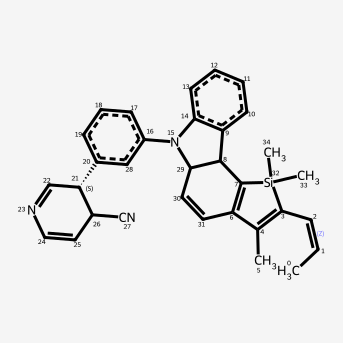 C/C=C\C1=C(C)C2=C(C3c4ccccc4N(c4cccc([C@H]5C=NC=CC5C#N)c4)C3C=C2)[Si]1(C)C